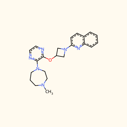 CN1CCCN(c2nccnc2OC2CN(c3ccc4ccccc4n3)C2)CC1